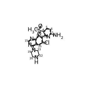 CS(=O)(=O)c1ccc(N)nc1-c1cc2ncnc(N3CCNCC3)c2cc1Cl